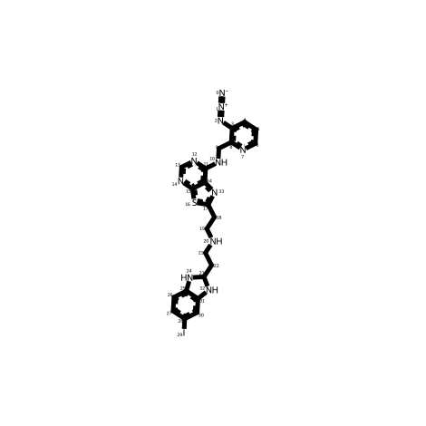 [N-]=[N+]=Nc1cccnc1CNc1ncnc2sc(CCNCCC3Nc4ccc(I)cc4N3)nc12